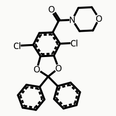 O=C(c1cc(Cl)c2c(c1Cl)OC(c1ccccc1)(c1ccccc1)O2)N1CCOCC1